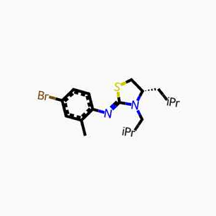 Cc1cc(Br)ccc1N=C1SC[C@H](CC(C)C)N1CC(C)C